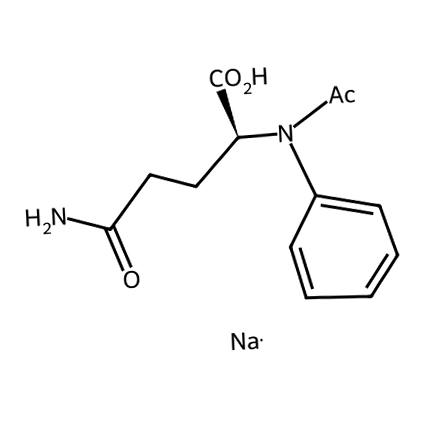 CC(=O)N(c1ccccc1)[C@@H](CCC(N)=O)C(=O)O.[Na]